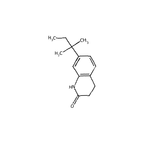 CCC(C)(C)c1ccc2c(c1)NC(=O)CC2